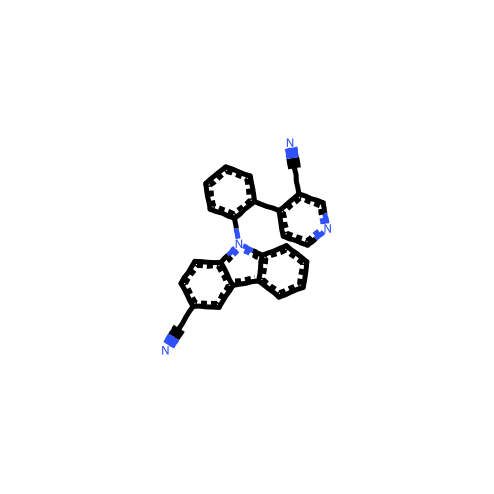 N#Cc1ccc2c(c1)c1ccccc1n2-c1ccccc1-c1ccncc1C#N